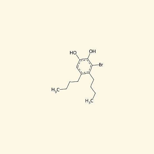 CCCCc1cc(O)c(O)c(Br)c1CCCC